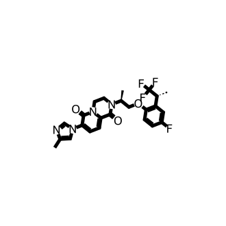 Cc1cn(-c2ccc3n(c2=O)CCN([C@@H](C)COc2ccc(F)cc2[C@@H](C)C(F)(F)F)C3=O)cn1